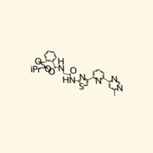 Cc1cc(-c2cccc(-c3csc(NC(=O)CNC(=O)c4ccccc4S(=O)(=O)C(C)C)n3)n2)ncn1